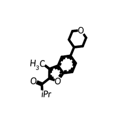 Cc1c(C(=O)C(C)C)oc2ccc(C3CCOCC3)cc12